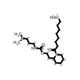 CCCCCCCCCCCCCCCCCC(=O)N1CCCCC1CCOC(=O)NCCCN(C)C